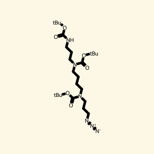 CC(C)(C)OC(=O)NCCCN(CCCCN(CCCN=[N+]=[N-])C(=O)OC(C)(C)C)C(=O)OC(C)(C)C